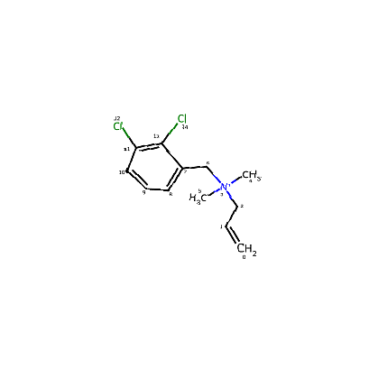 C=CC[N+](C)(C)Cc1cccc(Cl)c1Cl